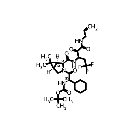 C=CCNC(=O)C(=O)C(CC(F)(F)F)NC(=O)[C@@H]1[C@H]2[C@@H](CN1C(=O)[C@@H](NC(=O)OC(C)(C)C)C1CCCCC1)C2(C)C